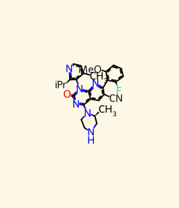 COc1cccc(F)c1-c1nc2c(cc1C#N)c(N1CCNC[C@@H]1C)nc(=O)n2-c1c(C)ccnc1C(C)C